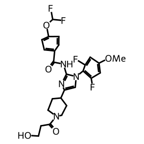 COc1cc(F)c(-n2cc(C3CCN(C(=O)CCO)CC3)nc2NC(=O)c2ccc(OC(F)F)cc2)c(F)c1